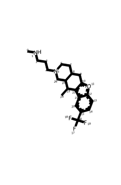 CNCCCN1CCC2Cc3oc4ccc(C(F)(F)F)cc4c3C(C)C2C1